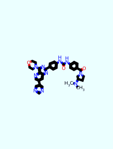 CN(C)C1CCN(C(=O)c2ccc(NC(=O)Nc3ccc(-c4nc(N5CCOCC5)c5ncc(-c6cncnc6)cc5n4)cc3)cc2)C1